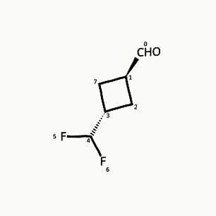 O=C[C@H]1C[C@H](C(F)F)C1